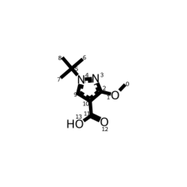 COc1nn(C(C)(C)C)cc1C(=O)O